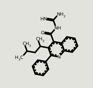 CC(C)CC(C)c1c(-c2ccccc2)nc2ccccc2c1C(=O)NC(=N)N